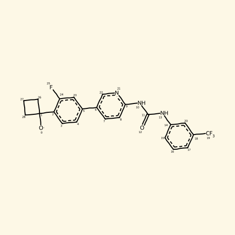 [O]C1(c2ccc(-c3ccc(NC(=O)Nc4cccc(C(F)(F)F)c4)nc3)cc2F)CCC1